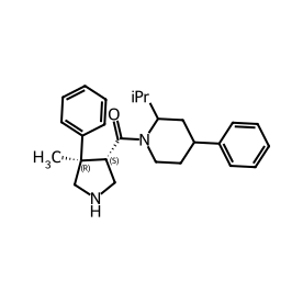 CC(C)C1CC(c2ccccc2)CCN1C(=O)[C@@H]1CNC[C@@]1(C)c1ccccc1